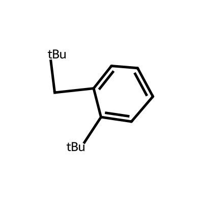 CC(C)(C)Cc1ccccc1C(C)(C)C